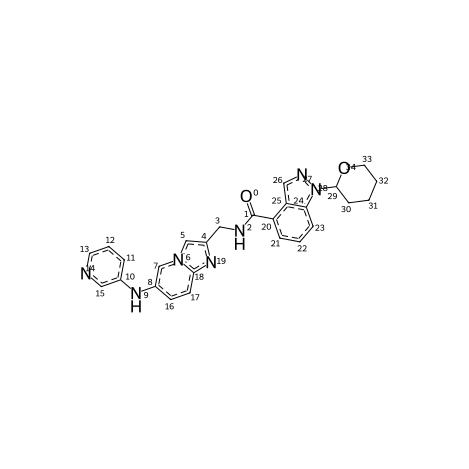 O=C(NCc1cn2cc(Nc3cccnc3)ccc2n1)c1cccc2c1cnn2C1CCCCO1